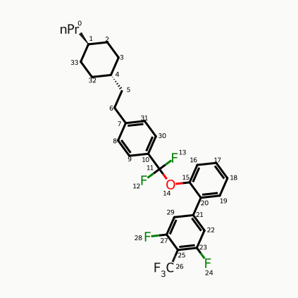 CCC[C@H]1CC[C@H](CCc2ccc(C(F)(F)Oc3ccccc3-c3cc(F)c(C(F)(F)F)c(F)c3)cc2)CC1